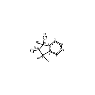 CC1(C)c2ccccc2C(C)(Cl)C1Cl